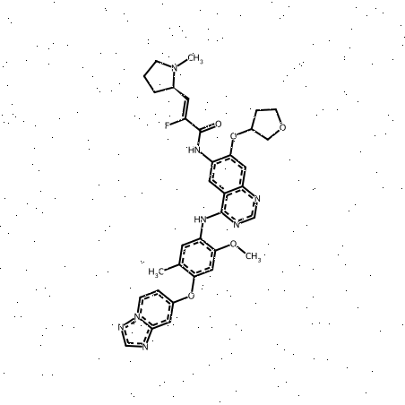 COc1cc(Oc2ccn3ncnc3c2)c(C)cc1Nc1ncnc2cc(OC3CCOC3)c(NC(=O)/C(F)=C/[C@H]3CCCN3C)cc12